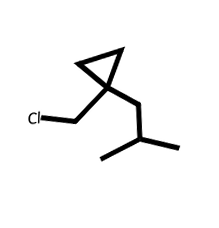 CC(C)CC1(CCl)CC1